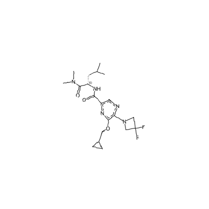 CC(C)C[C@H](NC(=O)c1cnc(N2CC(F)(F)C2)c(OCC2CC2)n1)C(=O)N(C)C